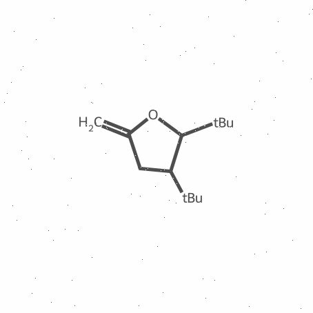 C=C1CC(C(C)(C)C)C(C(C)(C)C)O1